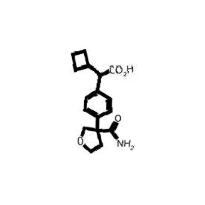 NC(=O)C1(c2ccc(C(C(=O)O)C3CCC3)cc2)CCOC1